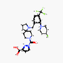 O=C(O)c1ccn(C(=O)N2CCC3(CCCN3Cc3ccc(C(F)(F)F)cc3N3CCC(F)CC3)CC2)n1